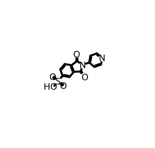 O=C1c2ccc(S(=O)(=O)O)cc2C(=O)N1c1ccncc1